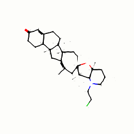 CC1=C2C[C@H]3[C@@H](CCC4=CC(=O)CC[C@@]43C)[C@@H]2CC[C@@]2(C1)O[C@@H]1C[C@H](C)CN(CCCl)[C@H]1[C@H]2C